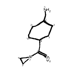 NC1CCC(C(=O)N2CC2)CC1